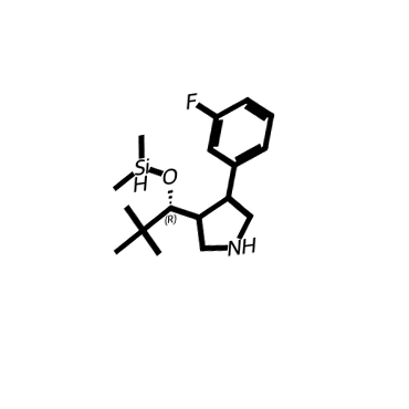 C[SiH](C)O[C@H](C1CNCC1c1cccc(F)c1)C(C)(C)C